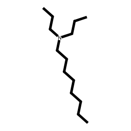 CCCCCCCCN(CCC)CCC